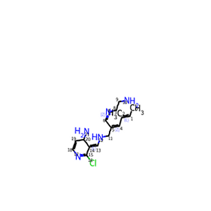 C/C=C(C)/C=C(\C=N/CCN)CN/C=C1/C(Cl)=NC=CC1N